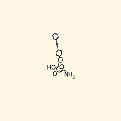 NCc1cc(=O)c(O)c(COc2ccc(C#Cc3ccccc3)cc2)o1